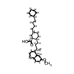 COc1ccc2nccc([C@@H](F)CC[C@@H]3CCN(CCCSc4ccccc4)C[C@@H]3C(=O)O)c2c1